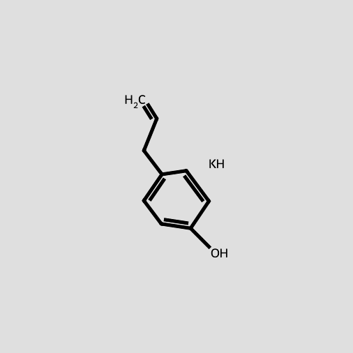 C=CCc1ccc(O)cc1.[KH]